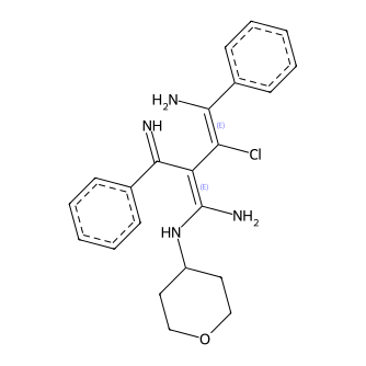 N=C(C(=C(/N)NC1CCOCC1)/C(Cl)=C(\N)c1ccccc1)c1ccccc1